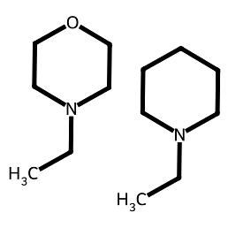 CCN1CCCCC1.CCN1CCOCC1